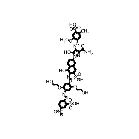 COc1cc(S(=O)(=O)O)c(C)cc1/N=N/c1c(C(N)=O)nn(-c2ccc3c(O)c(/N=N/c4cc(OCCO)c(/N=N/c5ccc([N+](=O)[O-])cc5S(=O)(=O)O)cc4OCCO)c(S(=O)(=O)O)cc3c2)c1O